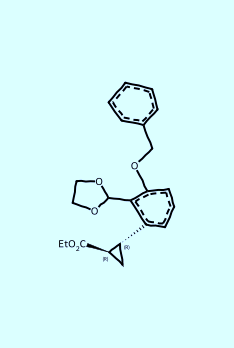 CCOC(=O)[C@@H]1C[C@H]1c1cccc(OCc2ccccc2)c1C1OCCO1